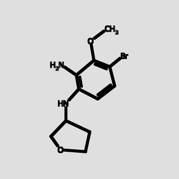 COc1c(Br)ccc(NC2CCOC2)c1N